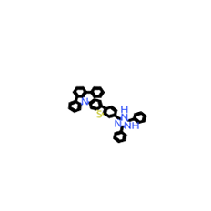 c1ccc(-c2cccc3c4ccccc4n(-c4ccc5c(c4)sc4cc(C6=NC(c7ccccc7)NC(c7ccccc7)N6)ccc45)c23)cc1